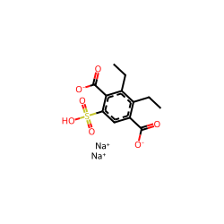 CCc1c(C(=O)[O-])cc(S(=O)(=O)O)c(C(=O)[O-])c1CC.[Na+].[Na+]